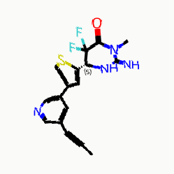 CC#Cc1cncc(-c2csc([C@H]3NC(=N)N(C)C(=O)C3(F)F)c2)c1